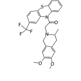 COc1cc2c(cc1OC)CN(CC(=O)N1c3ccccc3Sc3ccc(C(F)(F)F)cc31)C(C)C2